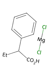 CCC(C(=O)O)c1ccccc1.[Cl][Mg][Cl]